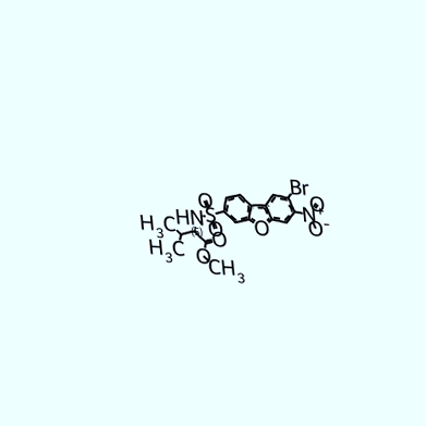 COC(=O)[C@@H](NS(=O)(=O)c1ccc2c(c1)oc1cc([N+](=O)[O-])c(Br)cc12)C(C)C